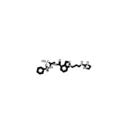 O=C(NCC(NS(=O)(=O)c1ccccc1)C(=O)O)c1cccc2c1cnn2CCCNC1NCCN1